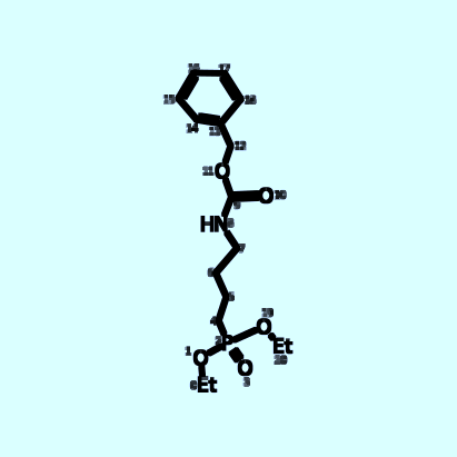 CCOP(=O)(CCCCNC(=O)OCc1ccccc1)OCC